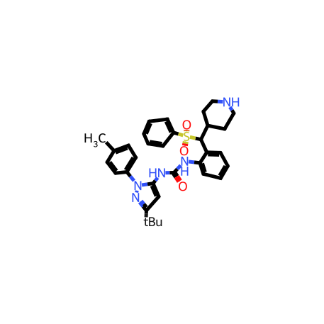 Cc1ccc(-n2nc(C(C)(C)C)cc2NC(=O)Nc2ccccc2C(C2CCNCC2)S(=O)(=O)c2ccccc2)cc1